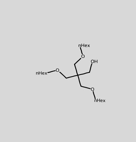 CCCCCCOCC(CO)(COCCCCCC)COCCCCCC